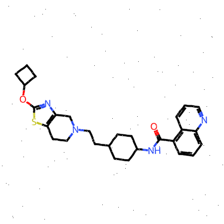 O=C(NC1CCC(CCN2CCc3sc(OC4CCC4)nc3C2)CC1)c1cccc2ncccc12